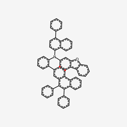 c1ccc(-c2ccc(N(c3ccc4c(c3)oc3ccccc34)c3ccccc3-c3ccc4c(c3)c(-c3ccccc3)c(-c3ccccc3)c3ccccc34)c3ccccc23)cc1